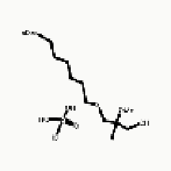 CCCCCCCCCCCCCCCCSCC(C)(CO)OC.O=P(O)(O)O